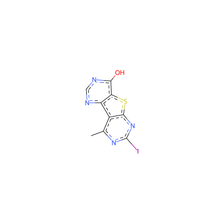 Cc1nc(I)nc2sc3c(O)ncnc3c12